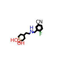 N#Cc1ccc(F)c(CNCCC2CCS(O)(O)CC2)c1